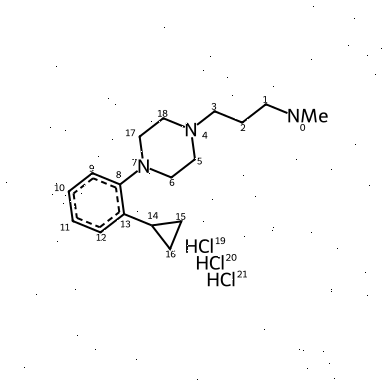 CNCCCN1CCN(c2ccccc2C2CC2)CC1.Cl.Cl.Cl